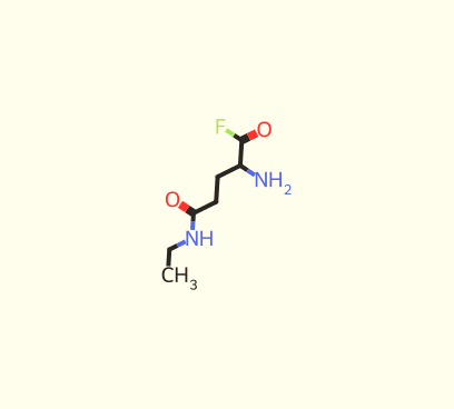 CCNC(=O)CCC(N)C(=O)F